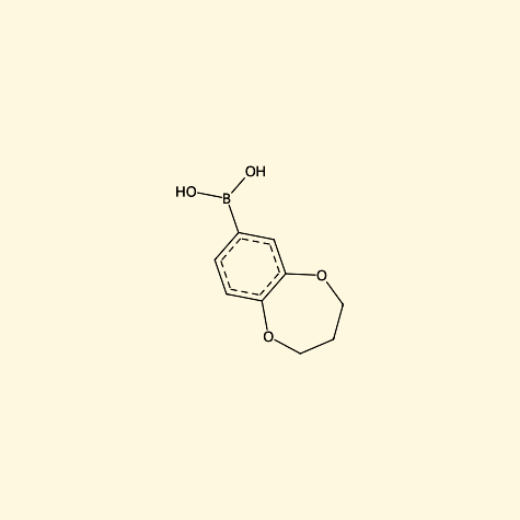 OB(O)c1ccc2c(c1)OCCCO2